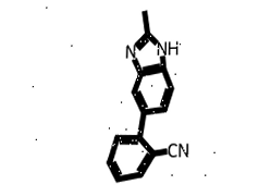 Cc1nc2cc(-c3ccccc3C#N)ccc2[nH]1